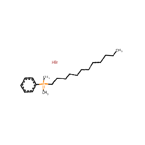 Br.CCCCCCCCCCCC[PH](C)(C)c1ccccc1